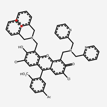 CC(=O)c1ccc(C(=O)O)c(-c2c3cc(Cl)c(=O)c(CN(Cc4ccccn4)Cc4ccccn4)c-3oc3c(CN(Cc4ccccn4)Cc4ccccn4)c(O)c(Cl)cc23)c1